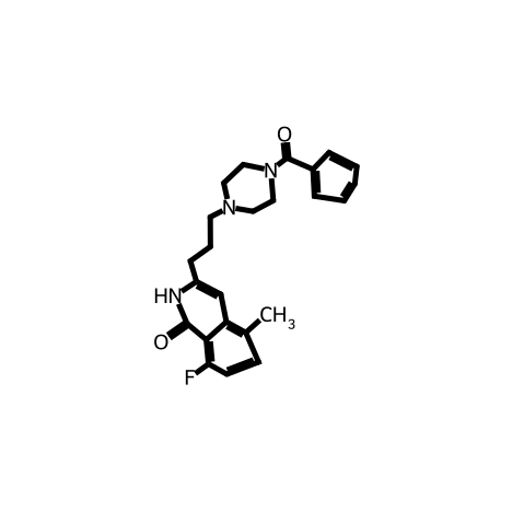 Cc1ccc(F)c2c(=O)[nH]c(CCCN3CCN(C(=O)c4ccccc4)CC3)cc12